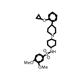 COc1ccc(S(=O)(=O)N[C@H]2CC[C@@H](N3CCC(c4ccccc4OC4CC4)CC3)CC2)cc1OC